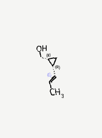 C/C=C/[C@H]1C[C@H]1CO